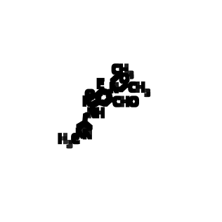 C[C@@H]1CN(c2c(C=O)cc3c(NCc4cnn(C)c4)noc3c2F)C[C@H](C)O1